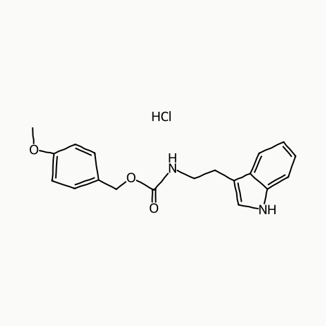 COc1ccc(COC(=O)NCCc2c[nH]c3ccccc23)cc1.Cl